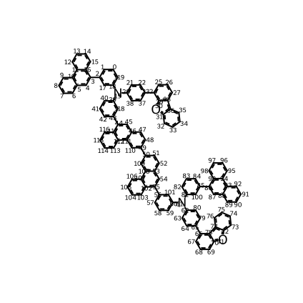 c1cc(-c2cc3ccccc3c3ccccc23)cc(N(c2ccc(-c3cccc4c3oc3ccccc34)cc2)c2cccc(-c3cc4ccc(-c5ccc6cc(-c7cccc(N(c8ccc(-c9cccc%10oc%11ccccc%11c9%10)cc8)c8cccc(-c9cc%10ccccc%10c%10ccccc9%10)c8)c7)c7ccccc7c6c5)cc4c4ccccc34)c2)c1